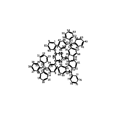 c1ccc(-c2nc(-c3cccc([Si](c4ccccc4)(c4ccccc4)c4ccccc4)c3)nc(-n3c4cc([Si](c5ccccc5)(c5ccccc5)c5ccccc5)ccc4c4ccc5c(c6ccccc6n5-c5ccccc5)c43)n2)cc1